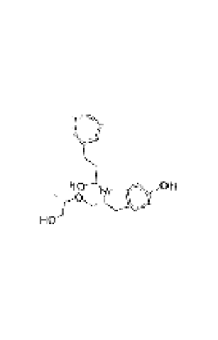 C[C@@H](CO)OC[C@@H](Cc1ccc(O)cc1)NC(O)CCc1ccccc1